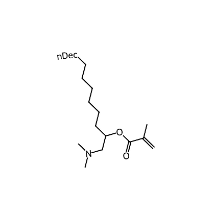 C=C(C)C(=O)OC(CCCCCCCCCCCCCCCC)CN(C)C